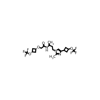 C=C(CCn1cc(C2CC(OC(F)(F)F)C2)nc1C)NC(=O)CO[C@H]1C[C@@H](OC(F)(F)F)C1